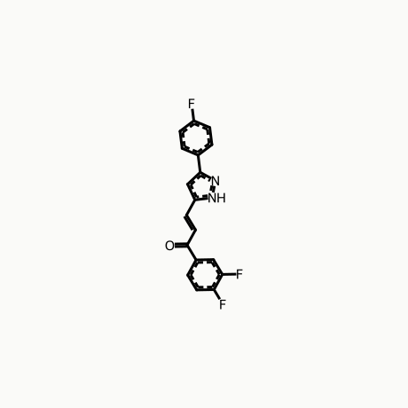 O=C(/C=C/c1cc(-c2ccc(F)cc2)n[nH]1)c1ccc(F)c(F)c1